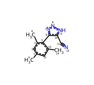 Cc1cc(C)c(-c2nn[nH]c2C#N)c(C)c1